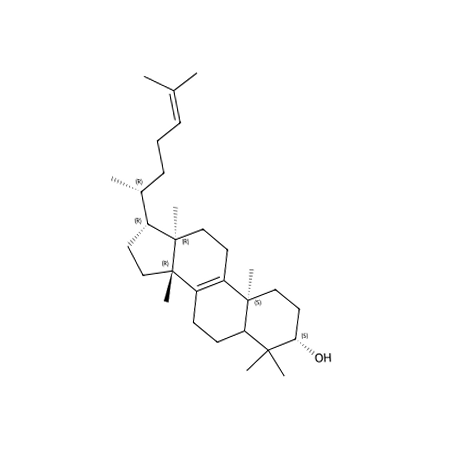 CC(C)=CCC[C@@H](C)[C@H]1CC[C@@]2(C)C3=C(CC[C@]12C)[C@@]1(C)CC[C@H](O)C(C)(C)C1CC3